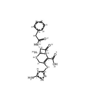 Nc1nnc(SC2=C(C(=O)O)N3C(=O)[C@@H](NC(=O)Cc4ccccc4)[C@@H]3SC2)s1